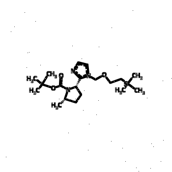 C[C@H]1CC[C@@H](c2nccn2COCC[Si](C)(C)C)N1C(=O)OC(C)(C)C